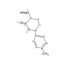 CCCCCCCC1CCC(c2ccc(C)cc2)OC1=O